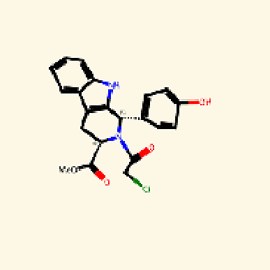 COC(=O)[C@H]1Cc2c([nH]c3ccccc23)[C@H](c2ccc(O)cc2)N1C(=O)CCl